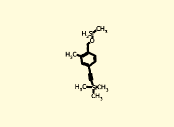 C[SiH2]OCc1ccc(C#C[Si](C)(C)C)cc1C